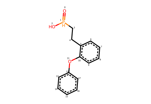 O=[PH](O)CCc1ccccc1Oc1ccccc1